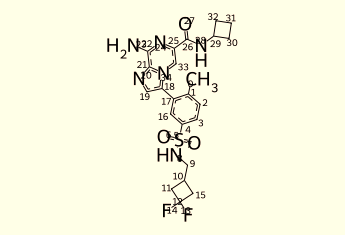 Cc1ccc(S(=O)(=O)NCC2CC(F)(F)C2)cc1-c1cnc2c(N)nc(C(=O)NC3CCC3)cn12